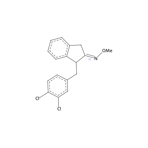 CO/N=C1\Cc2ccccc2C1Cc1ccc(Cl)c(Cl)c1